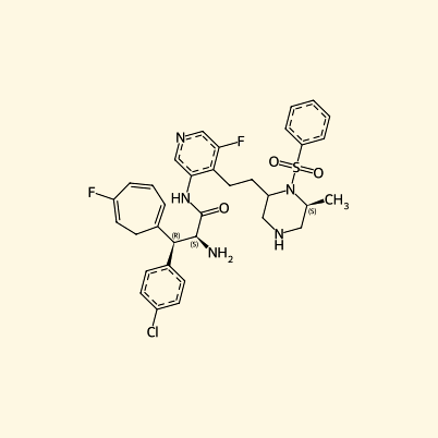 C[C@H]1CNCC(CCc2c(F)cncc2NC(=O)[C@@H](N)[C@H](C2=CC=CC(F)=CC2)c2ccc(Cl)cc2)N1S(=O)(=O)c1ccccc1